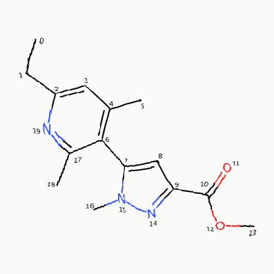 CCc1cc(C)c(-c2cc(C(=O)OC)nn2C)c(C)n1